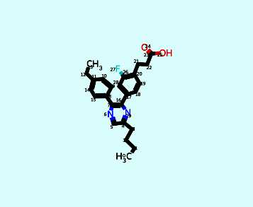 CCCCc1cnc(-c2ccc(CC)cc2)c(-c2ccc(CCC(=O)O)c(F)c2)n1